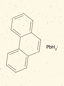 [PbH2].c1ccc2c(c1)ccc1ccccc12